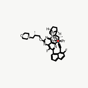 CC(C)[Si](C#Cc1c(F)ccc2cccc(-c3nc4c5c(nc(OC[C@@H](C)CN6CCOCC6)nc5c3F)N3C[C@H]5CC[C@H](N5)[C@H]3[C@H](C)O4)c12)(C(C)C)C(C)C